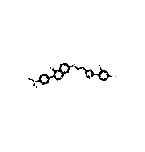 O=c1c(-c2ccc(B(O)O)cc2)coc2cc(OCCc3nc(-c4ccc(C(F)(F)F)cc4F)no3)ccc12